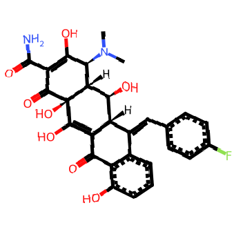 CN(C)[C@@H]1C(O)=C(C(N)=O)C(=O)[C@@]2(O)C(O)=C3C(=O)c4c(O)cccc4/C(=C\c4ccc(F)cc4)[C@H]3[C@H](O)[C@@H]12